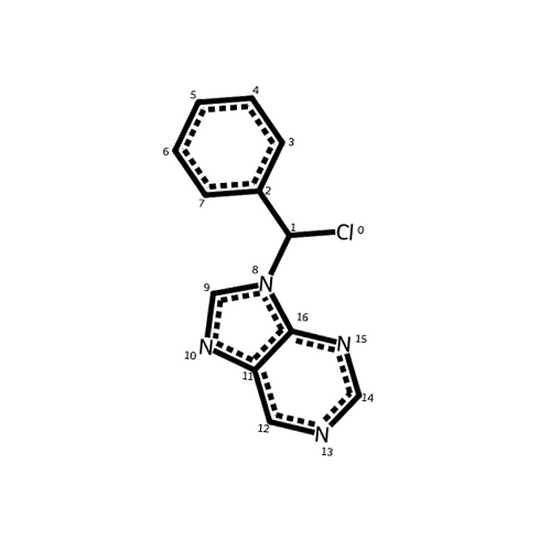 ClC(c1ccccc1)n1cnc2cncnc21